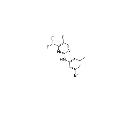 Cc1cc(Br)cc(Nc2ncc(F)c(C(F)F)n2)c1